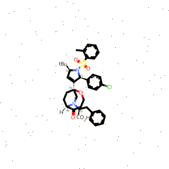 Cc1ccccc1S(=O)(=O)N1[C@@H](c2ccc(Cl)cc2)C([C@]23CC[C@H](C(=O)CCO2)N([C@@H](Cc2ccccc2)C(=O)O)C3)=C[C@H]1C(C)(C)C